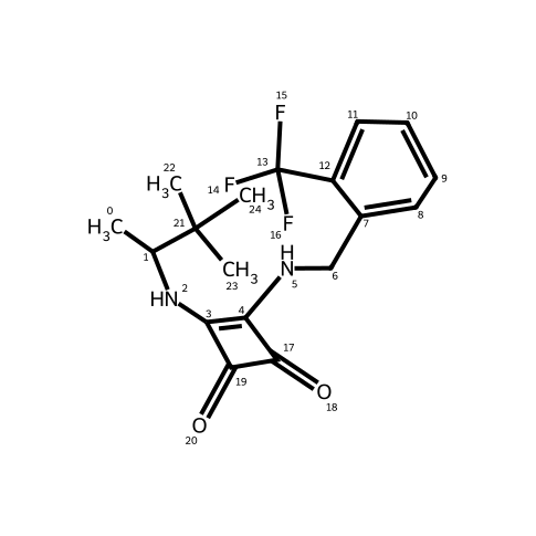 CC(Nc1c(NCc2ccccc2C(F)(F)F)c(=O)c1=O)C(C)(C)C